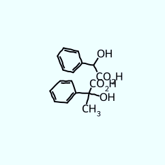 CC(O)(C(=O)O)c1ccccc1.O=C(O)C(O)c1ccccc1